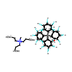 CCCCCCCCCCCC[N+](C)(CCCCCCCCCCCC)CCCCCCCCCCCC.Fc1c(F)c(F)c([B-](c2c(F)c(F)c(F)c(F)c2F)(c2c(F)c(F)c(F)c(F)c2F)c2c(F)c(F)c(F)c(F)c2F)c(F)c1F